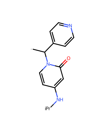 [CH2]C(c1ccncc1)n1ccc(NC(C)C)cc1=O